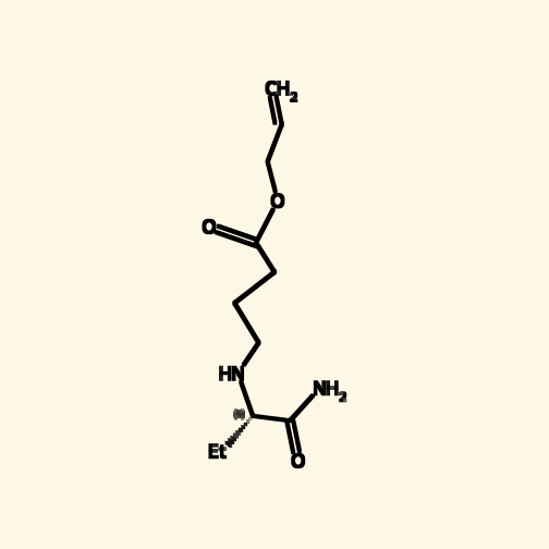 C=CCOC(=O)CCCN[C@@H](CC)C(N)=O